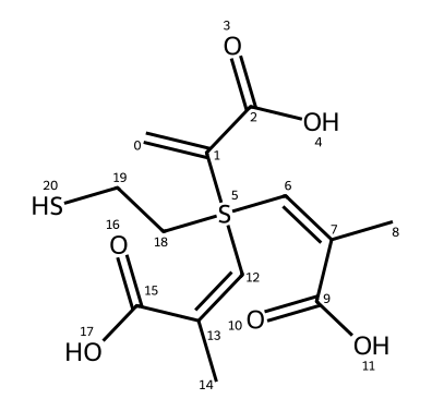 C=C(C(=O)O)S(C=C(C)C(=O)O)(C=C(C)C(=O)O)CCS